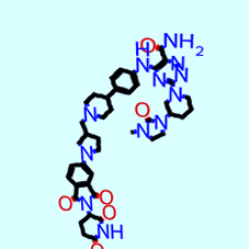 CN1CCN(C2CCCN(c3nnc(C(N)=O)c(Nc4ccc(C5CCN(CC6CCN(c7ccc8c(c7)C(=O)N(C7CCC(=O)NC7=O)C8=O)C6)CC5)cc4)n3)C2)C1=O